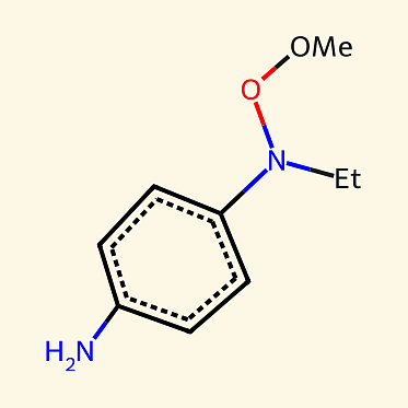 CCN(OOC)c1ccc(N)cc1